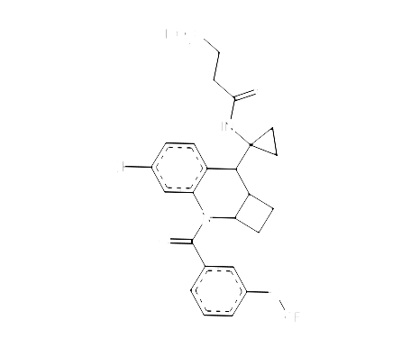 O=C(O)CCC(=O)NC1(C2c3ccc(Cl)cc3N(C(=O)c3cccc(OC(F)(F)F)c3)C3CCC32)CC1